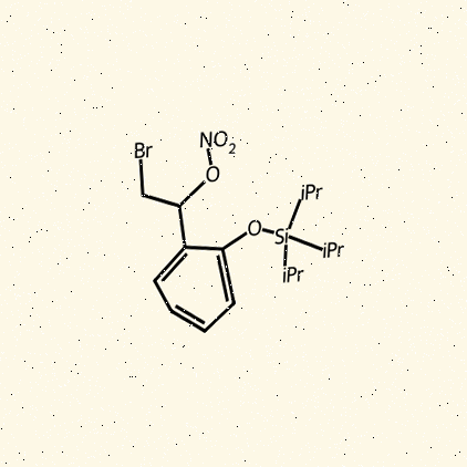 CC(C)[Si](Oc1ccccc1C(CBr)O[N+](=O)[O-])(C(C)C)C(C)C